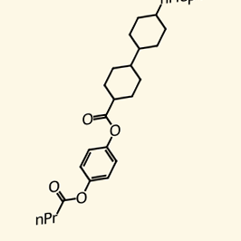 CCCCCCCC1CCC(C2CCC(C(=O)Oc3ccc(OC(=O)CCC)cc3)CC2)CC1